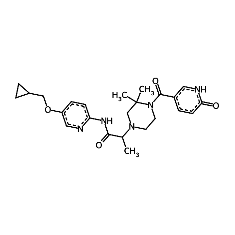 CC(C(=O)Nc1ccc(OCC2CC2)cn1)N1CCN(C(=O)c2ccc(=O)[nH]c2)C(C)(C)C1